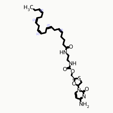 CC/C=C\C/C=C\C/C=C\C/C=C\C/C=C\CCCC(=O)NCCNC(=O)OC[C@@H]1OC(n2ccc(N)nc2=O)CS1